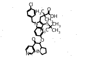 CC(C)(C)Sc1c(CC(C)(C)C(=O)O)n(Cc2ccc(Cl)cc2)c2ccc(OC(C(=O)c3ccncc3)C3CCCN3)cc12